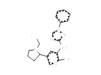 Cc1ncc(C2CCCN2CC(C)C)cc1Nc1ncn(-c2ccccc2)n1